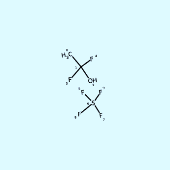 CC(O)(F)F.FS(F)(F)F